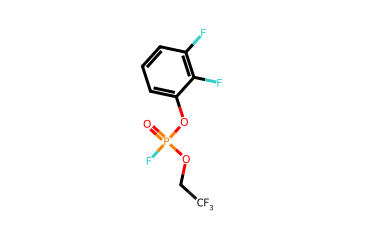 O=P(F)(OCC(F)(F)F)Oc1cccc(F)c1F